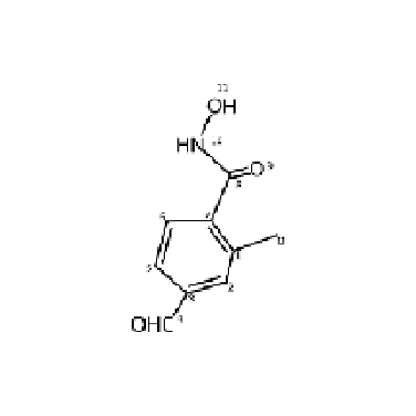 Cc1cc(C=O)ccc1C(=O)NO